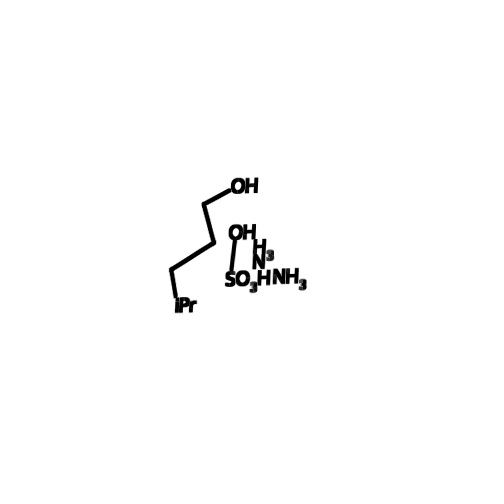 CC(C)CCCO.N.N.O=S(=O)(O)O